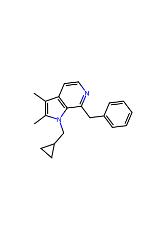 Cc1c(C)n(CC2CC2)c2c(Cc3ccccc3)nccc12